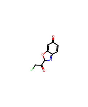 O=C1C=CC2=NC(C(=O)CBr)OC2=C1